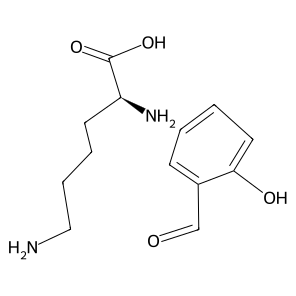 NCCCC[C@H](N)C(=O)O.O=Cc1ccccc1O